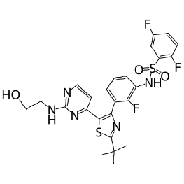 CC(C)(C)c1nc(-c2cccc(NS(=O)(=O)c3cc(F)ccc3F)c2F)c(-c2ccnc(NCCO)n2)s1